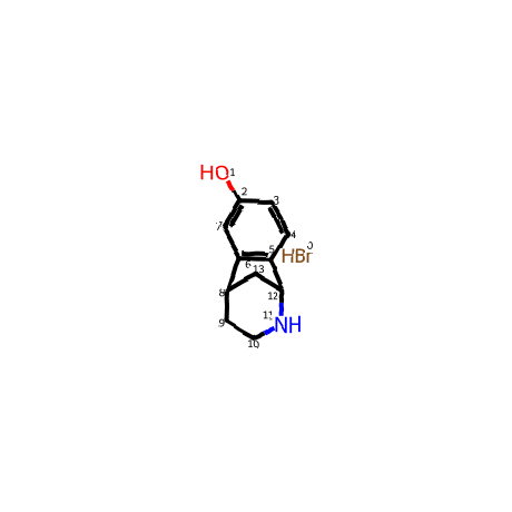 Br.Oc1ccc2c(c1)C1CCNC2C1